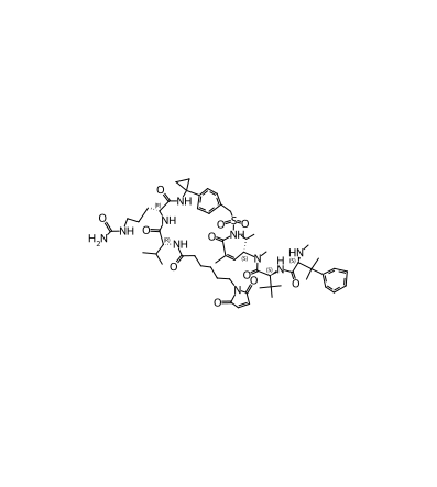 CN[C@H](C(=O)N[C@H](C(=O)N(C)[C@H](C=C(C)C(=O)NS(=O)(=O)Cc1ccc(C2(NC(=O)[C@@H](CCCNC(N)=O)NC(=O)[C@H](NC(=O)CCCCCN3C(=O)C=CC3=O)C(C)C)CC2)cc1)C(C)C)C(C)(C)C)C(C)(C)c1ccccc1